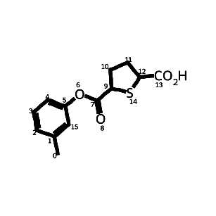 Cc1cccc(OC(=O)C2CCC(C(=O)O)S2)c1